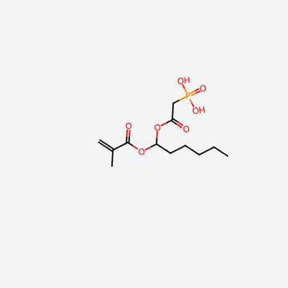 C=C(C)C(=O)OC(CCCCC)OC(=O)CP(=O)(O)O